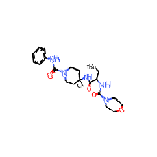 CC(C)(C)CC(NC(=O)N1CCOCC1)C(=O)NC1(C#N)CCN(C(=O)Nc2ccccc2)CC1